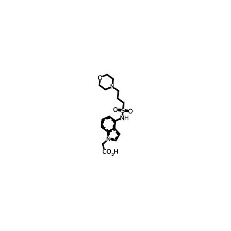 O=C(O)Cn1ccc2c(NS(=O)(=O)CCCN3CCOCC3)cccc21